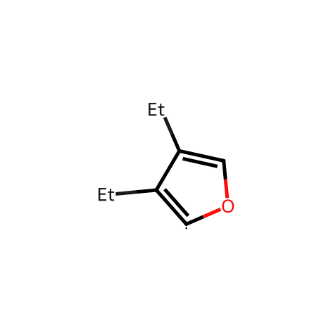 CCc1[c]occ1CC